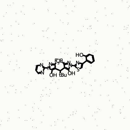 Cc1nn(-c2ncccn2)c(O)c1C(c1c(C(F)(F)F)nn(-c2nc(-c3ccccc3O)cs2)c1O)C(C)(C)C